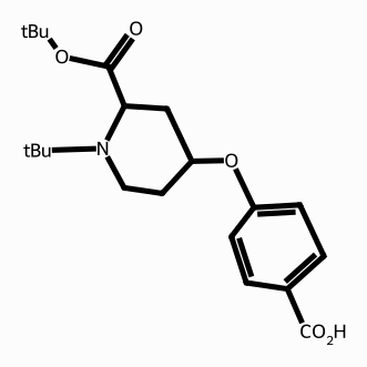 CC(C)(C)OC(=O)C1CC(Oc2ccc(C(=O)O)cc2)CCN1C(C)(C)C